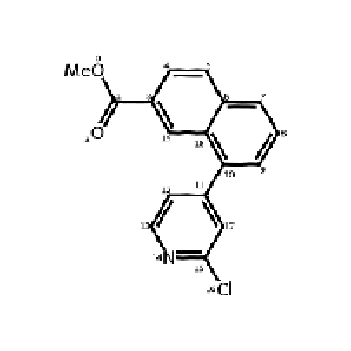 COC(=O)c1ccc2cccc(-c3ccnc(Cl)c3)c2c1